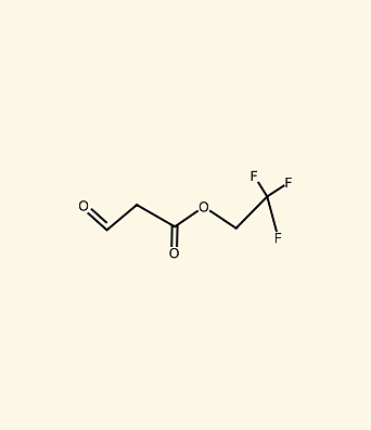 O=CCC(=O)OCC(F)(F)F